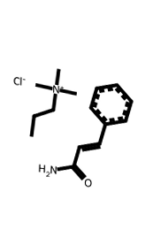 CCC[N+](C)(C)C.NC(=O)C=Cc1ccccc1.[Cl-]